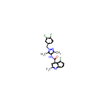 Cc1nn(Cc2ccc(F)c(F)c2)c(C)c1NC(=O)c1cc(C(F)(F)F)nc2cccc(F)c12